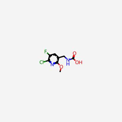 COc1nc(Cl)c(F)cc1CNC(=O)O